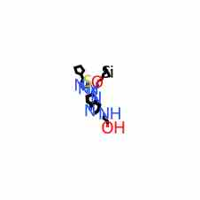 C[Si](C)(C)CCOCN(c1ccc2ncc(NCCO)cc2n1)c1nnc(C2CCCC2)s1